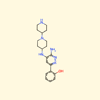 Nc1nnc(-c2ccccc2O)cc1NC1CCN(C2CCNCC2)CC1